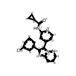 O=C(Nc1cc(-c2c(-c3cccc(Cl)c3)nc3cccnn23)ccn1)C1CC1